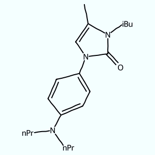 CCCN(CCC)c1ccc(-n2cc(C)n(C(C)CC)c2=O)cc1